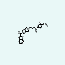 Cc1ccc(NCCCN2CC3CN(C(=O)c4cc5ccccc5s4)CC3C2)cc1Cl